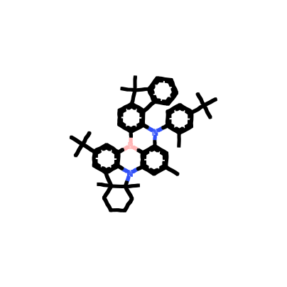 Cc1cc2c3c(c1)N1c4c(cc(C(C)(C)C)cc4C4(C)CCCCC14C)B3c1ccc3c(c1N2c1ccc(C(C)(C)C)cc1C)-c1ccccc1C3(C)C